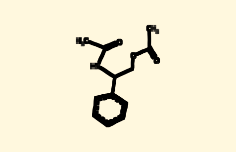 CC(=O)NC(COC(C)=O)c1ccccc1